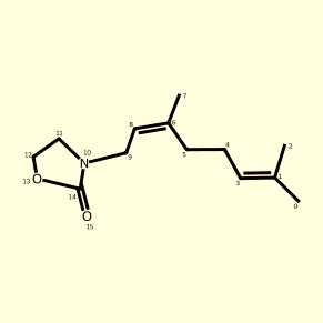 CC(C)=CCCC(C)=CCN1CCOC1=O